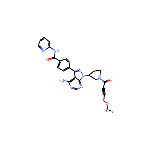 COCC#CC(=O)N1CCC(n2nc(-c3ccc(C(=O)Nc4ccccn4)cc3)c3c(N)ncnc32)C1